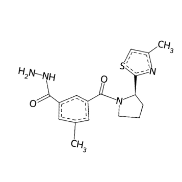 Cc1cc(C(=O)NN)cc(C(=O)N2CCC[C@@H]2c2nc(C)cs2)c1